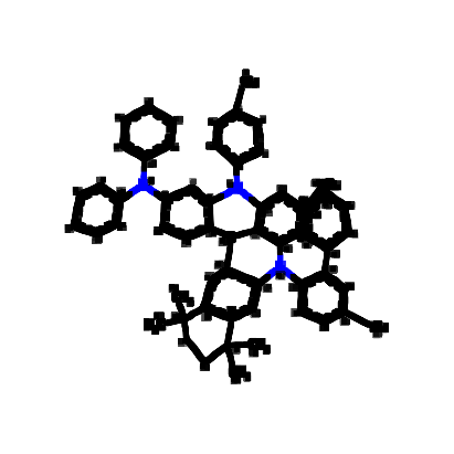 CC(C)(C)c1ccc(N2c3cc(N(c4ccccc4)c4ccccc4)ccc3B3c4cc5c(cc4N(c4ccc(C(C)(C)C)cc4-c4ccccc4)c4cc(C(C)(C)C)cc2c43)C(C)(C)CCC5(C)C)cc1